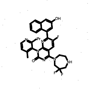 Cc1ccnc(C(C)C)c1-n1c(=O)nc(N2CCNCC(F)(F)C2)c2cc(F)c(-c3cc(O)cc4ccccc34)nc21